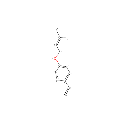 C=Cc1ccc(OCC=C(C)C)cc1